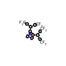 FC(F)(F)c1ccc(-c2cc(-c3ccc(C(F)(F)F)cc3)cc(-c3ccc4c(c3)c3cc(-c5cc(-c6ccc(C(F)(F)F)cc6)cc(-c6ccc(C(F)(F)F)cc6)c5)ccc3n4-c3ccccc3-c3ccccc3)c2)cc1